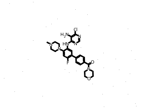 CN1CCN(c2cc(F)c(-c3ccc(C(=O)N4CCOCC4)cc3)cc2Nc2ncnc(Cl)c2N)CC1